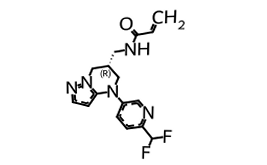 C=CC(=O)NC[C@@H]1CN(c2ccc(C(F)F)nc2)c2ccnn2C1